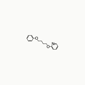 c1ccc(OCCCCOc2ccccn2)cc1